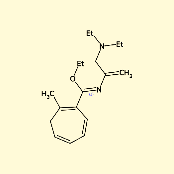 C=C(CN(CC)CC)/N=C(\OCC)C1=C(C)CC=CC=C1